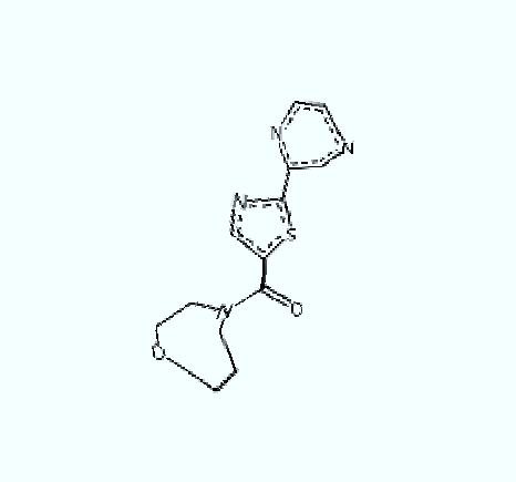 O=C(c1cnc(-c2cnccn2)s1)N1CCOCC1